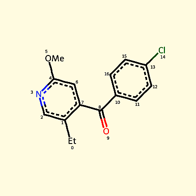 CCc1cnc(OC)cc1C(=O)c1ccc(Cl)cc1